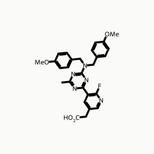 COc1ccc(CN(Cc2ccc(OC)cc2)c2nc(C)nc(-c3cc(CC(=O)O)cnc3F)n2)cc1